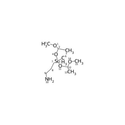 COC(C)O[Si](C)(CCCN)OC(C)OC